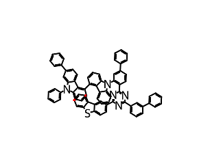 c1ccc(-c2cccc(-c3nc(-c4ccc5sc6ccccc6c5c4)nc(-c4ccc(-c5ccccc5)cc4-n4c5ccccc5c5c(-c6cccc7c6c6ccc(-c8ccccc8)cc6n7-c6ccccc6)cccc54)n3)c2)cc1